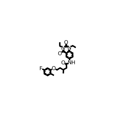 CCn1c(=O)c2cc(NC(=O)CC(C)CCOc3cc(F)ccc3C)ccc2n(CC)c1=O